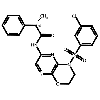 C[C@H](C(=O)Nc1cnc2c(n1)N(S(=O)(=O)c1cccc(Cl)c1)CCO2)c1ccccc1